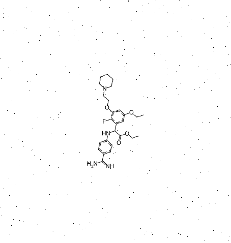 CCOC(=O)C(Nc1ccc(C(=N)N)cc1)c1cc(OCC)cc(OCCN2CCCCC2)c1F